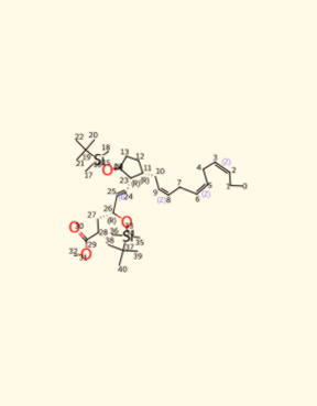 CC/C=C\C/C=C\C/C=C\C[C@H]1CC[C@H](O[Si](C)(C)C(C)(C)C)[C@H]1/C=C/[C@@H](CCC(=O)OC)O[Si](C)(C)C(C)(C)C